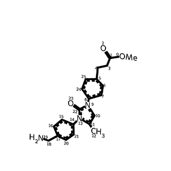 COC(=O)CCc1ccc(-n2cc(C)n(-c3ccc(CN)cc3)c2=O)cc1